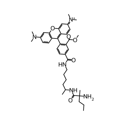 CCCC(C)(N)C(=O)NC(C)CCCCNC(=O)c1ccc(-c2c3ccc(=[N+](C)C)cc-3oc3cc(N(C)C)ccc23)c(C(=O)OC)c1